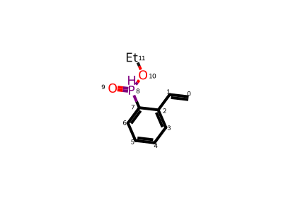 C=Cc1ccccc1[PH](=O)OCC